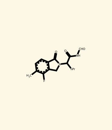 CCCC(C(=O)NC=O)N1Cc2c(ccc(C)c2F)C1=O